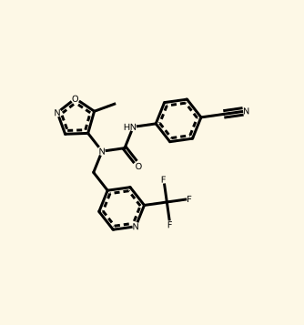 Cc1oncc1N(Cc1ccnc(C(F)(F)F)c1)C(=O)Nc1ccc(C#N)cc1